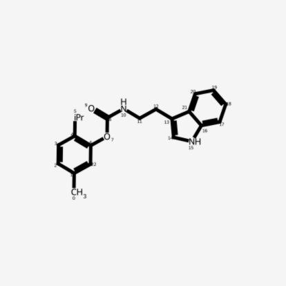 Cc1ccc(C(C)C)c(OC(=O)NCCc2c[nH]c3ccccc23)c1